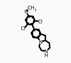 COc1cc(Cl)c(-c2ccc3c(c2)CC2CCNCCN32)c(Cl)c1